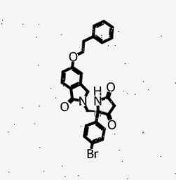 O=C1CC(=O)[C@](CN2Cc3cc(OCCc4ccccc4)ccc3C2=O)(c2ccc(Br)cc2)N1